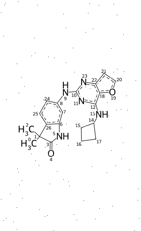 CC1(C)C(=O)Nc2cc(Nc3nc(NC4CCC4)c4occc4n3)ccc21